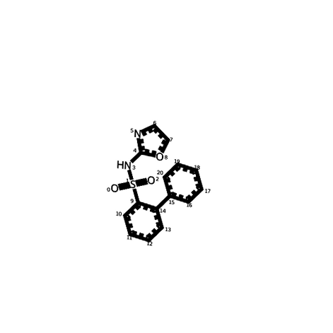 O=S(=O)(Nc1ncco1)c1ccccc1-c1ccccc1